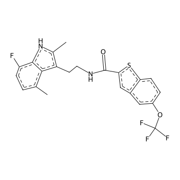 Cc1[nH]c2c(F)ccc(C)c2c1CCNC(=O)c1cc2cc(OC(F)(F)F)ccc2s1